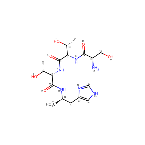 C[C@@H](O)[C@H](NC(=O)[C@@H](NC(=O)[C@@H](N)CO)[C@@H](C)O)C(=O)N[C@@H](Cc1c[nH]cn1)C(=O)O